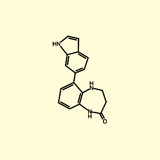 O=C1CCNc2c(cccc2-c2ccc3cc[nH]c3c2)N1